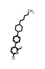 CCCCCC1CCC(c2ccc(-c3ccc(Cl)nc3F)cc2)CC1